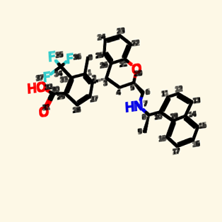 Cc1c([C@H]2C[C@H](CN[C@H](C)c3cccc4ccccc34)Oc3ccccc32)ccc(C(=O)O)c1C(F)(F)F